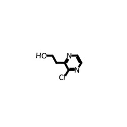 OCCc1nccnc1Cl